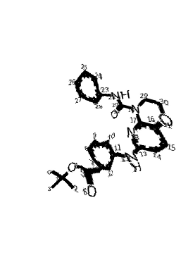 CC(C)(C)OC(=O)c1cccc(Nc2ccc3c(n2)N(C(=O)Nc2ccccc2)CCO3)c1